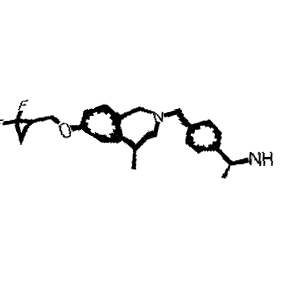 CC1CN(Cc2ccc([C@H](C)N)cc2)Cc2ccc(OCC3CC3(F)F)cc21